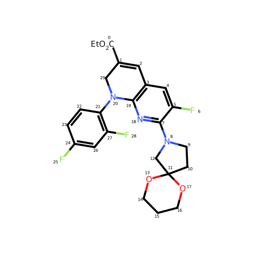 CCOC(=O)C1=Cc2cc(F)c(N3CCC4(C3)OCCCO4)nc2N(c2ccc(F)cc2F)C1